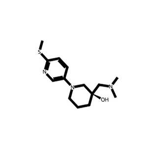 CSc1ccc(N2CCC[C@@](O)(CN(C)C)C2)cn1